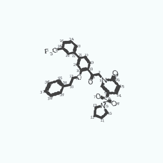 O=C(Cn1cc(S(=O)(=O)N2CCCC2)ccc1=O)c1ccc(-c2cccc(C(F)(F)F)c2)cc1OCCc1ccccc1